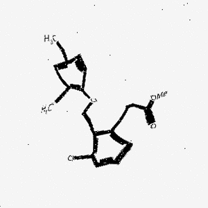 COC(=O)Cc1cccc(Cl)c1COc1ccc(C)cc1C